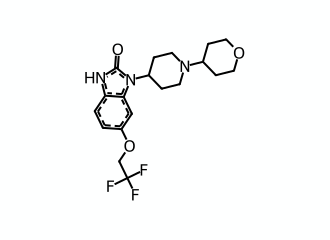 O=c1[nH]c2ccc(OCC(F)(F)F)cc2n1C1CCN(C2CCOCC2)CC1